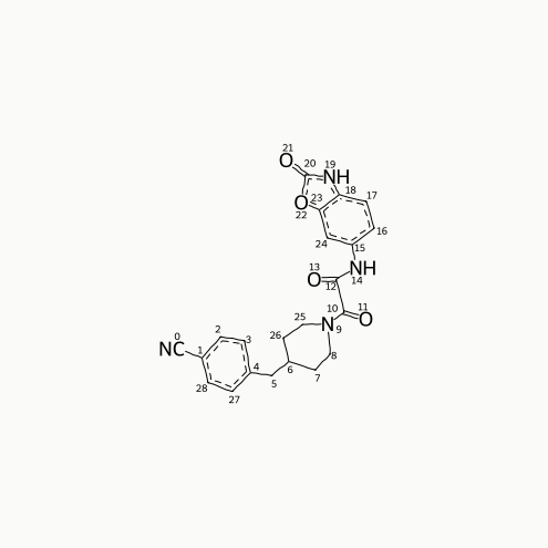 N#Cc1ccc(CC2CCN(C(=O)C(=O)Nc3ccc4[nH]c(=O)oc4c3)CC2)cc1